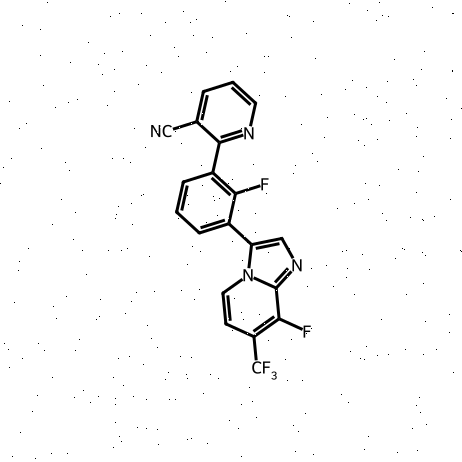 N#Cc1cccnc1-c1cccc(-c2cnc3c(F)c(C(F)(F)F)ccn23)c1F